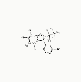 [2H]c1c([2H])c([2H])c2c(nc(C([2H])([2H])C([2H])([2H])[2H])n2-c2cccc(Br)c2)c1[2H]